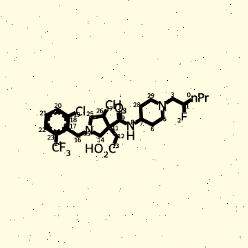 CCCC(F)CN1CCC(NC(=O)C2(CC(=O)O)CN(Cc3c(Cl)cccc3C(F)(F)F)CC2C)CC1